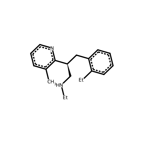 CCNC[C@H](Cc1ccccc1CC)c1ncccc1C